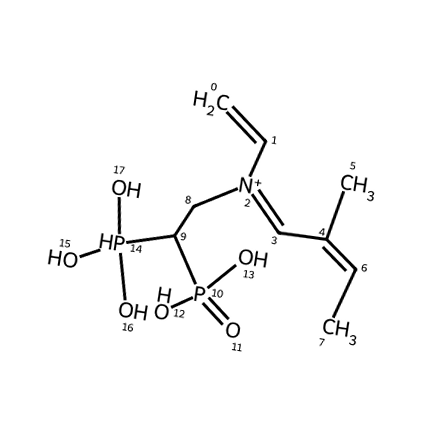 C=C/[N+](=C\C(C)=C/C)CC(P(=O)(O)O)[PH](O)(O)O